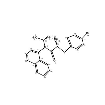 C[C@@H](C(=O)O)N(C(=O)[C@@H](N)Cc1ccc(Br)cc1)c1cccc2ccccc12